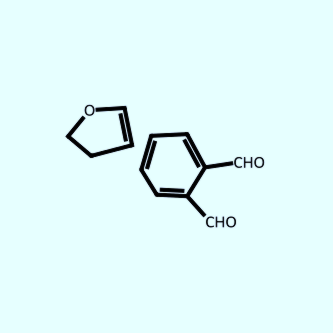 C1=COCC1.O=Cc1ccccc1C=O